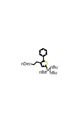 CCCCCCCCCCCCc1c[c]([Sn]([CH2]CCC)([CH2]CCC)[CH2]CCC)sc1-c1ccccc1